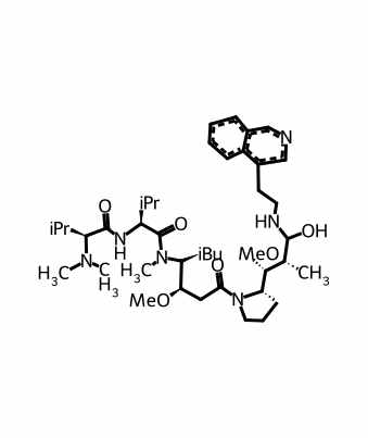 CC[C@H](C)C([C@@H](CC(=O)N1CCC[C@H]1[C@H](OC)[C@@H](C)C(O)NCCc1cncc2ccccc12)OC)N(C)C(=O)[C@@H](NC(=O)[C@H](C(C)C)N(C)C)C(C)C